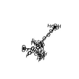 CC(C)(C#Cc1ccc(-c2ccc(Cl)c3c(N(C(=O)OCCOCCOCCOCCOP(=O)(O)O)S(C)(=O)=O)nn(CC(F)(F)F)c23)c([C@H](Cc2cc(F)cc(F)c2)NC(=O)Cn2nc(C(F)(F)F)c3c2C(F)(F)[C@@H]2C[C@H]32)n1)S(C)(=O)=O